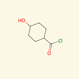 O=C(Cl)C1CCC(O)CC1